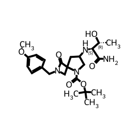 COc1ccc(CN2CC3(CC(N[C@H](C(N)=O)[C@@H](C)O)CN3C(=O)OC(C)(C)C)C2=O)cc1